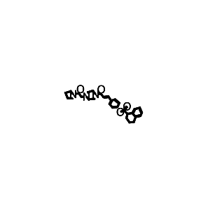 O=C(Oc1ccc(/C=C/C(=O)N2CCN(CC(=O)N3CCCC3)CC2)cc1)C1CCCc2ccccc21